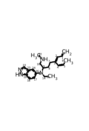 C=C/C=C(\C=C/C)CCC(CNC)N(CC)c1ccc2[nH]ncc2c1